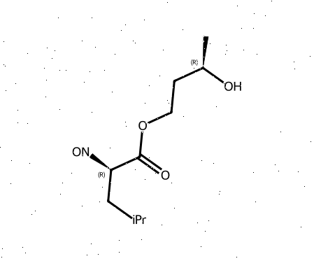 CC(C)C[C@@H](N=O)C(=O)OCC[C@@H](C)O